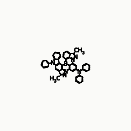 Cc1nn2c3c(cccc13)B1c3c-2cc(N(c2ccccc2)c2ccccc2)cc3-n2nc(C)c3cc4c(c1c32)c1ccccc1n4-c1ccccc1